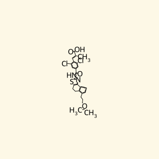 C/C(=C\c1c(Cl)cc(C(=O)Nc2nc3c(s2)CCc2c(CCCOC(C)C)cccc2-3)cc1Cl)C(=O)O